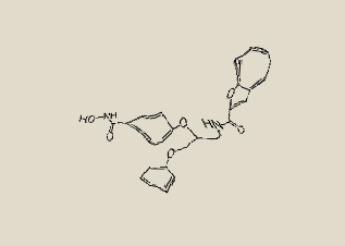 O=C(NO)c1ccc(OC(CNC(=O)c2cc3ccccc3o2)COc2ccccc2)cc1